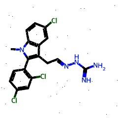 Cn1c(-c2ccc(Cl)cc2Cl)c(CC=NNC(=N)N)c2cc(Cl)ccc21